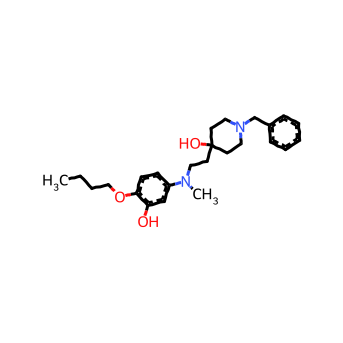 CCCCOc1ccc(N(C)CCC2(O)CCN(Cc3ccccc3)CC2)cc1O